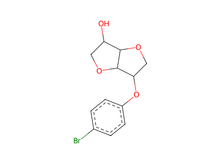 OC1COC2C(Oc3ccc(Br)cc3)COC12